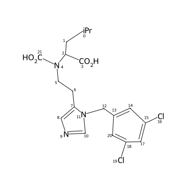 CC(C)CC(C(=O)O)N(CCc1cncn1Cc1cc(Cl)cc(Cl)c1)C(=O)O